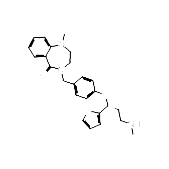 CNCC[C@H](Oc1ccc(CN2CCN(C)c3ccccc3C2=O)cc1)c1cccs1